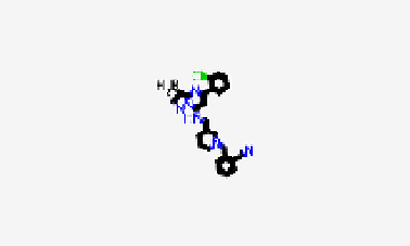 Bc1cnn2c(NCC3CCCN(Cc4ccccc4C#N)C3)cc(-c3ccccc3Cl)nc12